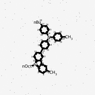 CCCCCCCCn1c2ccc(C)cc2c2cc(-c3ccc(N(c4ccc(C)cc4)c4ccc(CCCC)cc4)cc3)ccc21